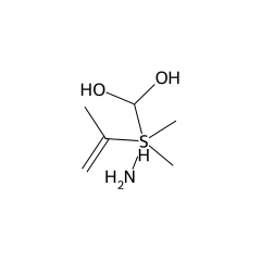 C=C(C)[SH](C)(C)(N)C(O)O